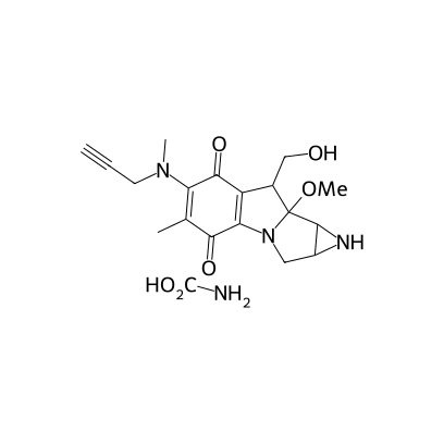 C#CCN(C)C1=C(C)C(=O)C2=C(C1=O)C(CO)C1(OC)C3NC3CN21.NC(=O)O